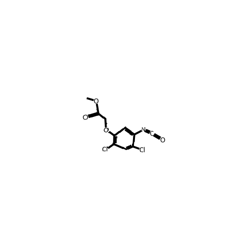 COC(=O)COc1cc(N=C=O)c(Cl)cc1Cl